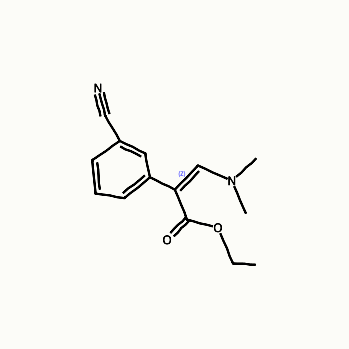 CCOC(=O)/C(=C\N(C)C)c1cccc(C#N)c1